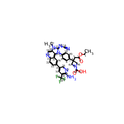 CCOC(=O)CC1(c2ccc(-n3c(=NC#N)n(C)c4cnc5ccc(-c6cnc(N)c(C(F)(F)F)c6)cc5c43)cc2)CN(C(=O)O)C1